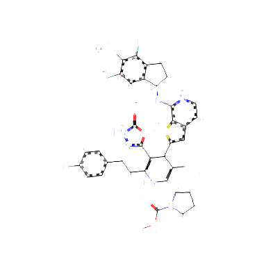 CCOC(=O)C1=C([C@@H]2CCCN2C(=O)OC(C)(C)C)NC(CCc2ccc(F)cc2)=C(c2n[nH]c(=O)o2)C1c1cc2ccnc(N[C@@H]3CCc4c3cc(Cl)c(OC)c4F)c2s1